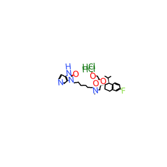 COCC(=O)O[C@]1(CCN(C)CCCCCCn2c(=O)[nH]c3ccncc32)CCc2cc(F)ccc2[C@@H]1C(C)C.Cl.Cl